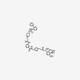 CN(C(=O)CCN1CCC(OC(=O)Nc2ccccc2-c2ccccc2)CC1)c1cccc(C(=O)NCc2ccc(CCNC[C@H](O)c3ccc(O)c4[nH]c(=O)ccc34)cc2)c1